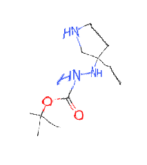 CCC1(NNC(=O)OC(C)(C)C)CCNC1